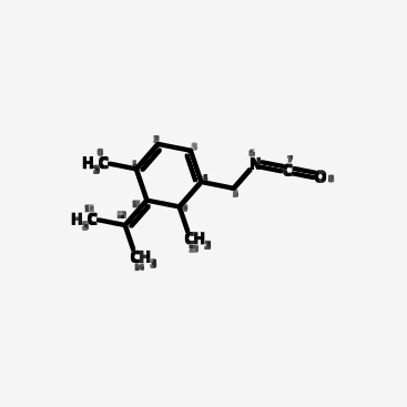 CC1=CC=C(CN=C=O)C(C)C1=C(C)C